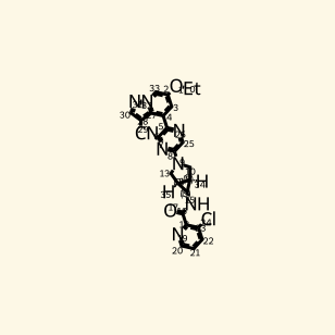 CCOc1cc(-c2cnc(N3C[C@@H]4[C@H](C3)[C@H]4NC(=O)c3ncccc3Cl)cn2)c2c(C#N)cnn2c1